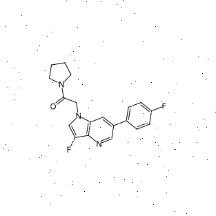 O=C(Cn1cc(F)c2ncc(-c3ccc(F)cc3)cc21)N1CCCC1